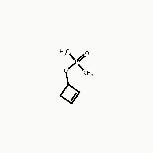 CP(C)(=O)OC1C=CC1